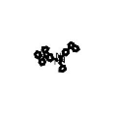 c1ccc(-c2nc(-c3ccc(-c4cccc5ccccc45)cc3)nc(-c3ccc4c(c3)-c3ccccc3[Si]4(c3ccccc3)c3ccccc3)n2)cc1